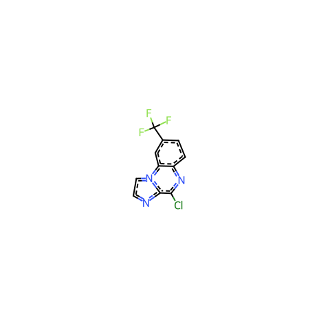 FC(F)(F)c1ccc2nc(Cl)c3nccn3c2c1